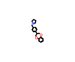 c1ccc2c(c1)OCC(c1ccc(CN3CCCC3)cc1)CO2